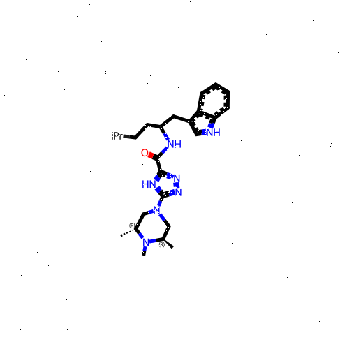 CC(C)CCC(Cc1c[nH]c2ccccc12)NC(=O)c1nnc(N2C[C@@H](C)N(C)[C@H](C)C2)[nH]1